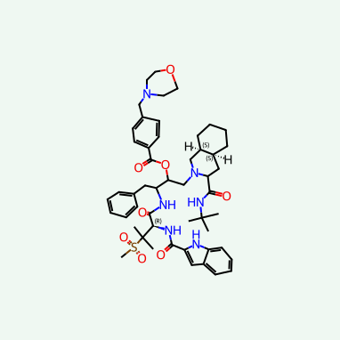 CC(C)(C)NC(=O)C1C[C@@H]2CCCC[C@@H]2CN1CC(OC(=O)c1ccc(CN2CCOCC2)cc1)C(Cc1ccccc1)NC(=O)[C@@H](NC(=O)c1cc2ccccc2[nH]1)C(C)(C)S(C)(=O)=O